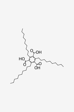 CCCCCCCCCCc1c(C(=O)O)c(CCCCCCCCCC)c(C(=O)O)c(CCCCCCCCCC)c1C(=O)O